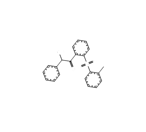 Cc1ccccc1S(=O)(=O)c1ccccc1C(=O)C(O)c1ccccc1